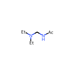 CCN(CC)CNC(C)=O